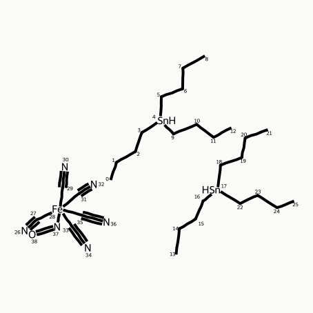 CCC[CH2][SnH]([CH2]CCC)[CH2]CCC.CCC[CH2][SnH]([CH2]CCC)[CH2]CCC.N#[C][Fe]([C]#N)([C]#N)([C]#N)([C]#N)[N]=O